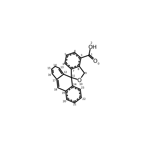 O=C(O)c1cccc2c1COC21C2=CCC=CC2=Cc2ccccc21